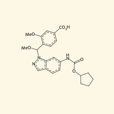 COc1cc(C(=O)O)ccc1C(OC)n1ncc2ccc(NC(=O)OC3CCCC3)cc21